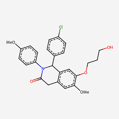 COc1ccc(N2C(=O)Cc3cc(OC)c(OCCCO)cc3C2c2ccc(Cl)cc2)cc1